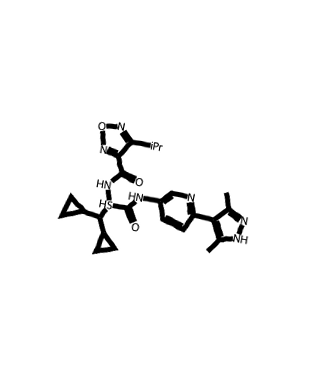 Cc1n[nH]c(C)c1-c1ccc(NC(=O)[SH](NC(=O)c2nonc2C(C)C)C(C2CC2)C2CC2)cn1